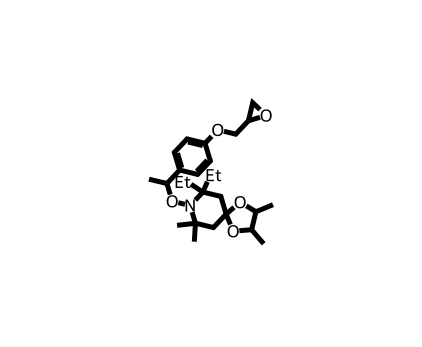 CCC1(CC)CC2(CC(C)(C)N1OC(C)c1ccc(OCC3CO3)cc1)OC(C)C(C)O2